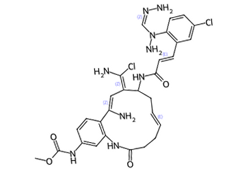 COC(=O)Nc1ccc2c(c1)NC(=O)CC/C=C/CC(NC(=O)/C=C/c1cc(Cl)ccc1N(N)/C=N\N)C(=C(/N)Cl)/C=C/2N